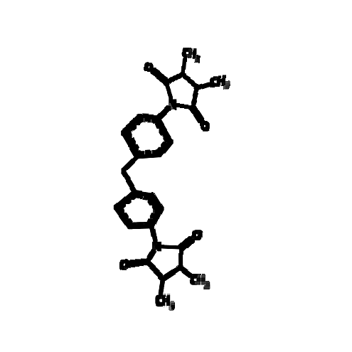 CC1C(=O)N(c2ccc(Cc3ccc(N4C(=O)C(C)C(C)C4=O)cc3)cc2)C(=O)C1C